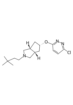 CC(C)(C)CCN1C[C@H]2C[C@@H](Oc3ccc(Cl)nn3)C[C@H]2C1